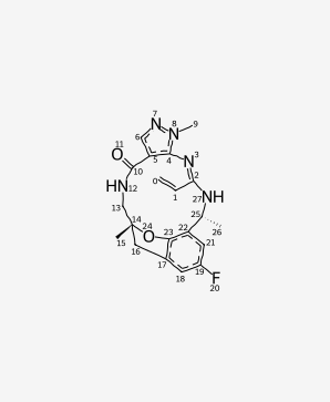 C=C/C1=N\c2c(cnn2C)C(=O)NC[C@@]2(C)Cc3cc(F)cc(c3O2)[C@@H](C)N1